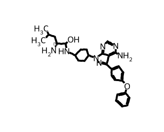 CC(C)C[C@H](N)C(O)NC1CCC(n2nc(-c3ccc(Oc4ccccc4)cc3)c3c(N)ncnc32)CC1